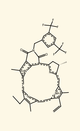 C=Cc1c(C)c2cc3nc(c4c5[nH]c(cc6nc(cc1[nH]2)C(C)=C6CC)c(C)c5C(=O)N(Cc1cc(C(F)(F)F)cc(C(F)(F)F)c1)C4=O)C[C@@H]3C